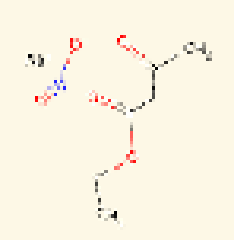 CCOC(=O)CC(C)=O.O=N[O-].[Na+]